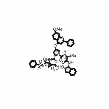 C=CC1C[C@]1(NC(=O)[C@@H]1C[C@@H](Oc2cc(-c3ccccc3)nc3cc(OC)ccc23)CN1C(=O)N[C@H](C(=O)N[C@H]1c2ccccc2C[C@H]1O)C(C)(C)C)C(=O)NS(=O)(=O)c1ccccc1